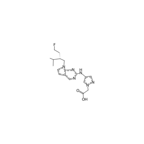 CC(C)[C@H](CCF)Cn1ccc2cnc(Nc3cnn(CC(=O)O)c3)nc21